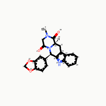 CC(C)(C)N1CC(=O)N2[C@H](c3ccc4c(c3)OCO4)c3[nH]c4ccccc4c3C[C@@H]2C1=O